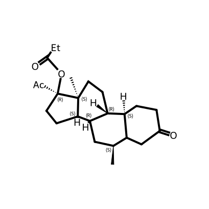 CCC(=O)O[C@]1(C(C)=O)CC[C@H]2[C@@H]3C[C@H](C)C4CC(=O)CC[C@@H]4[C@H]3CC[C@@]21C